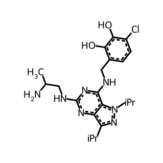 CC(N)CNc1nc(NCc2ccc(Cl)c(O)c2O)c2c(n1)c(C(C)C)nn2C(C)C